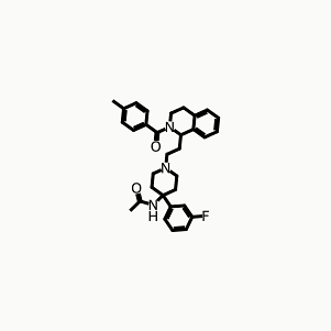 CC(=O)NC1(c2cccc(F)c2)CCN(CCC2c3ccccc3CCN2C(=O)c2ccc(C)cc2)CC1